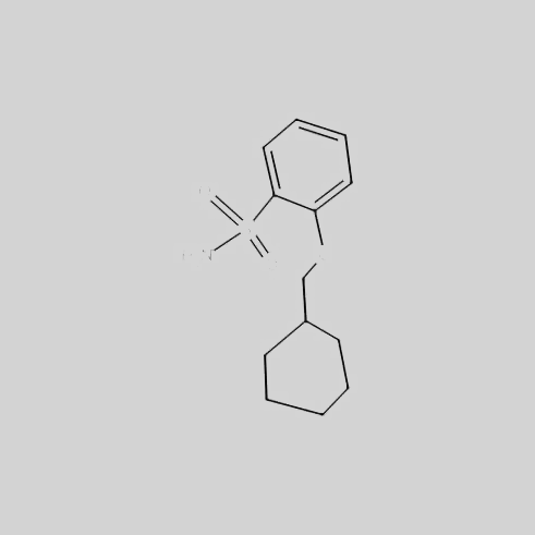 NS(=O)(=O)c1ccccc1OCC1CCCCC1